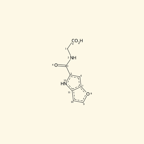 O=C(O)CNC(=O)c1cc2occc2[nH]1